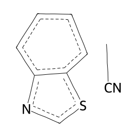 CC#N.c1ccc2scnc2c1